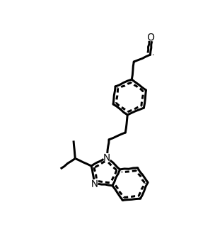 CC(C)c1nc2ccccc2n1CCc1ccc(C[C]=O)cc1